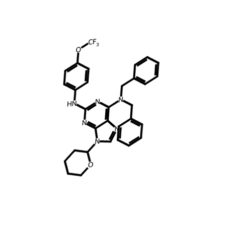 FC(F)(F)Oc1ccc(Nc2nc(N(Cc3ccccc3)Cc3ccccc3)c3ncn(C4CCCCO4)c3n2)cc1